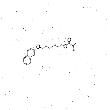 C=C(C)C(=O)OCCCCCCOc1ccc2ccccc2c1